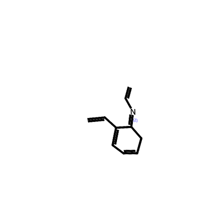 C=C/N=C1/CC=CC=C1C=C